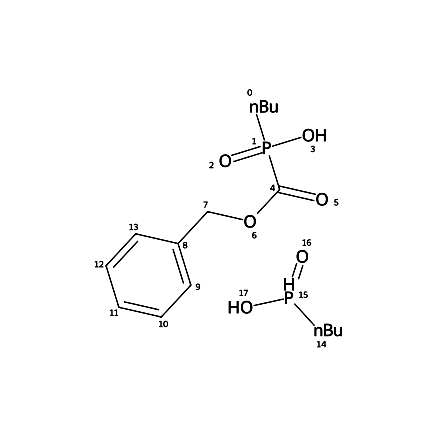 CCCCP(=O)(O)C(=O)OCc1ccccc1.CCCC[PH](=O)O